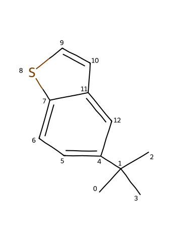 CC(C)(C)c1ccc2sccc2c1